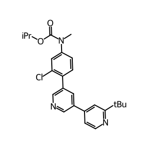 CC(C)OC(=O)N(C)c1ccc(-c2cncc(-c3ccnc(C(C)(C)C)c3)c2)c(Cl)c1